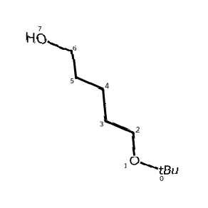 CC(C)(C)OCCCCCO